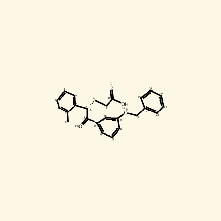 Cc1ccccc1[C@H](CCC(=O)O)C(=O)c1cccc(OCc2ccccc2)c1